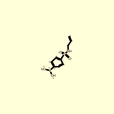 C=CCNS(=O)(=O)c1ccc(B(O)O)cc1